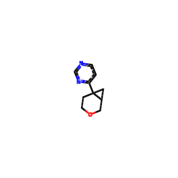 c1cc(C23CCOCC2C3)ncn1